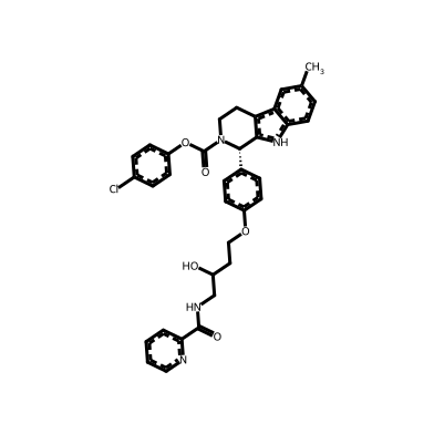 Cc1ccc2[nH]c3c(c2c1)CCN(C(=O)Oc1ccc(Cl)cc1)[C@H]3c1ccc(OCCC(O)CNC(=O)c2ccccn2)cc1